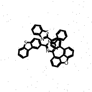 c1ccc(-c2nc(-c3ccc4sc5ccccc5c4c3)nc(-c3cccc4oc5cccc(-c6ccc(-c7nc8ccccc8s7)cc6)c5c34)n2)cc1